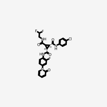 O=C(NCC(F)F)C1[C@@H](C(=O)Nc2ccc(-n3ccccc3=O)cc2F)[C@H]1C(=O)Nc1ccc(Cl)cc1